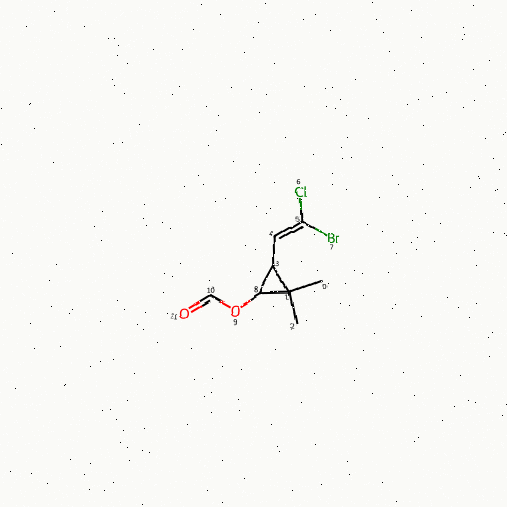 CC1(C)C(C=C(Cl)Br)C1OC=O